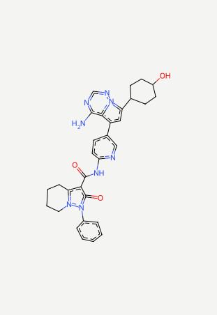 Nc1ncnn2c(C3CCC(O)CC3)cc(-c3ccc(NC(=O)c4c5n(n(-c6ccccc6)c4=O)CCCC5)nc3)c12